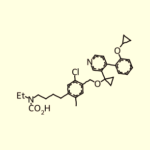 CCN(CCCCc1cc(Cl)c(COC2(c3cnccc3-c3ccccc3OC3CC3)CC2)cc1C)C(=O)O